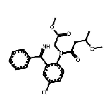 COC(=O)CN(C(=O)CC(C)OC)c1ccc(Cl)cc1C(=N)c1ccccc1